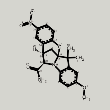 COc1ccc2c(c1)C(C)(C)[C@]13C[C@H](c4cc([N+](=O)[O-])ccc4O1)[C@H](C(N)=O)N23